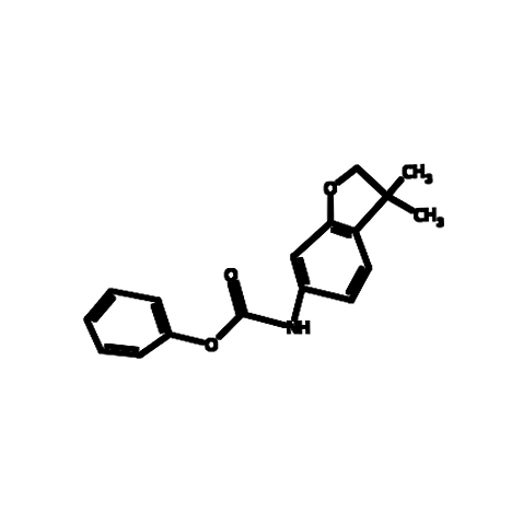 CC1(C)COc2cc(NC(=O)Oc3ccccc3)ccc21